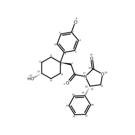 O=C(C[C@]1(c2ccc(Cl)cc2)CC[C@@H](O)CC1)N1C(=O)OC[C@@H]1c1ccccc1